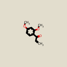 C=CC(=O)c1ccc(OC)cc1OC